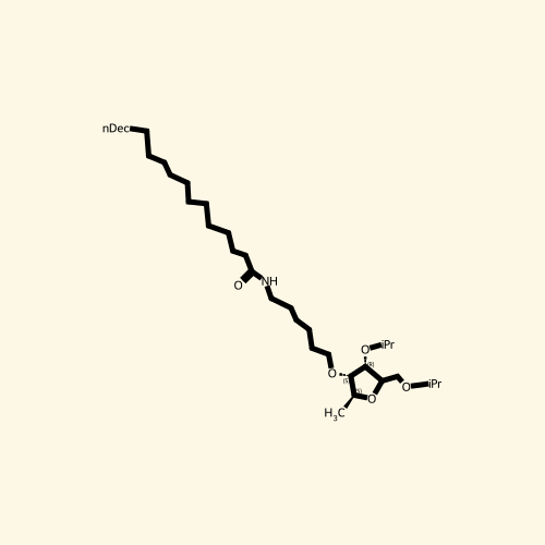 CCCCCCCCCCCCCCCCCCCCCC(=O)NCCCCCCO[C@H]1[C@H](C)OC(COC(C)C)[C@H]1OC(C)C